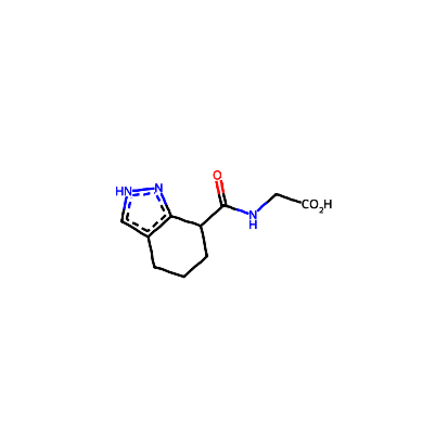 O=C(O)CNC(=O)C1CCCc2c[nH]nc21